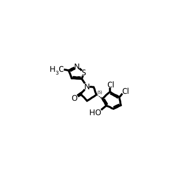 Cc1cc(N2C[C@H](c3c(O)ccc(Cl)c3Cl)CC2=O)sn1